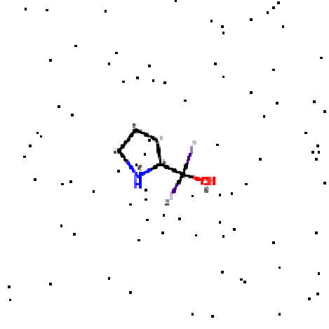 OC(I)(I)C1CCCN1